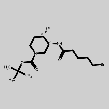 CC(C)(C)OC(=O)N1CC[C@H](O)[C@@H](NC(=O)CCCCBr)C1